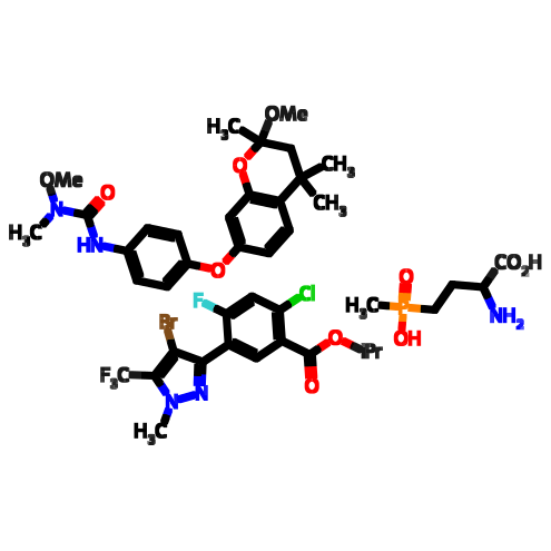 CC(C)OC(=O)c1cc(-c2nn(C)c(C(F)(F)F)c2Br)c(F)cc1Cl.CON(C)C(=O)Nc1ccc(Oc2ccc3c(c2)OC(C)(OC)CC3(C)C)cc1.CP(=O)(O)CCC(N)C(=O)O